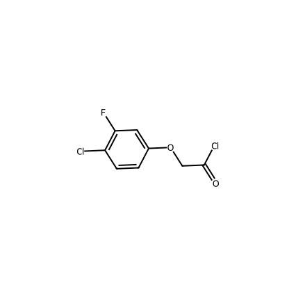 O=C(Cl)COc1ccc(Cl)c(F)c1